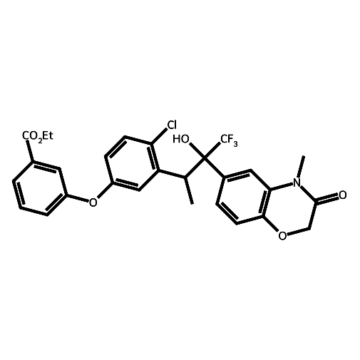 CCOC(=O)c1cccc(Oc2ccc(Cl)c(C(C)C(O)(c3ccc4c(c3)N(C)C(=O)CO4)C(F)(F)F)c2)c1